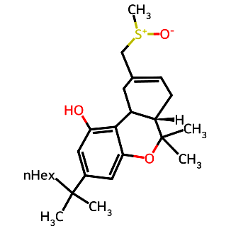 CCCCCCC(C)(C)c1cc(O)c2c(c1)OC(C)(C)[C@H]1CC=C(C[S+](C)[O-])CC21